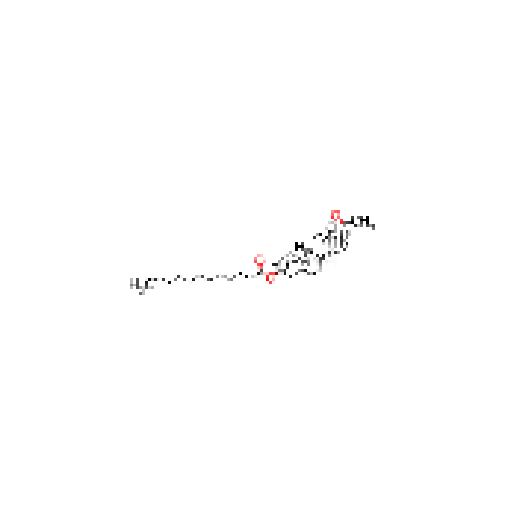 CCCCCCCCCCCC(=O)O[C@H]1CC[C@@]2(C)C(=CC[C@H]3[C@@H]4CC[C@H](C(C)=O)[C@@]4(C)CC[C@@H]32)C1